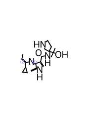 C=C1NC=C(C(=O)NC2(C(C)(C)O)CCNC2)/C1=N/C(=C\C)C1CC1